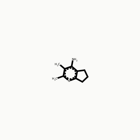 Cc1nc2c(c(N)c1C)CCC2